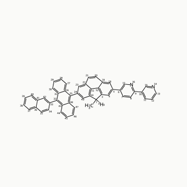 [2H]C1(C)c2cc(-c3ccc(-c4cccnc4)nc3)cc3ccc4cc(-c5c6ccccc6c(-c6ccc7ccccc7c6)c6ccccc56)cc1c4c23